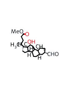 COC(=O)CC[C@@H](C)[C@H]1CC[C@H]2[C@@H]3CC[C@@H]4C[C@H](C=O)CC[C@]4(C)C3=C[C@@H](O)[C@]12C